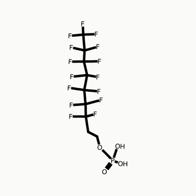 O=P(O)(O)OCCC(F)(F)C(F)(F)C(F)(F)C(F)(F)C(F)(F)C(F)(F)C(F)(F)F